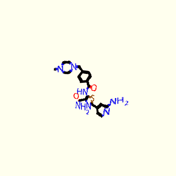 CN1CCN(Cc2ccc(C(=O)Nc3sc(-c4ccnc(N)c4)nc3C(N)=O)cc2)CC1